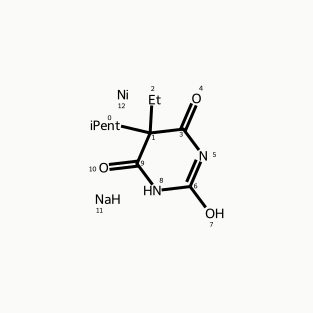 CCCC(C)C1(CC)C(=O)N=C(O)NC1=O.[NaH].[Ni]